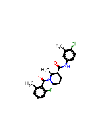 Cc1cccc(F)c1C(=O)N1CCC[C@H](C(=O)Nc2ccc(Cl)c(C(F)(F)F)c2)[C@@H]1C